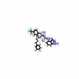 O=C(Nc1cccc2[nH]ncc12)NC1Cc2ccc(C(F)(F)F)cc2N(CCCc2ccccc2)C1